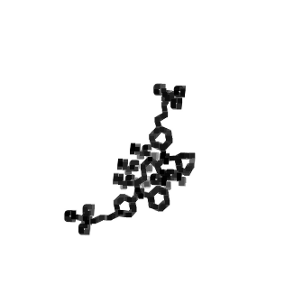 C=CC([C@@H](C)[C@@H](C)[C@H](C)[C@@H](C)N(c1ccccc1)c1ccc(CCC[Si](Cl)(Cl)Cl)cc1)N(c1ccccc1)c1ccc(CCC[Si](Cl)(Cl)Cl)cc1